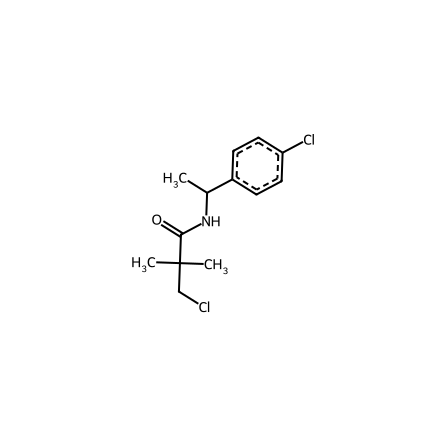 CC(NC(=O)C(C)(C)CCl)c1ccc(Cl)cc1